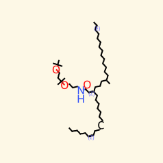 C/C=C/CCCCCCCCCCCC(C)CCC/C(=C\C(=O)NCCCOC(C)(C)CCOC(C)(C)C)CCCCCCC=C=CC/C=C\CCCCC